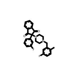 Cc1ccc(F)cc1CN1CCN(C2(c3cccc(F)c3)C(=O)c3ccccc3C2=O)CC1